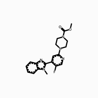 COC(=O)N1CCN(c2cc(-c3nc4ccccc4n3C)c(F)cn2)CC1